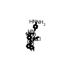 CCOC(=O)CN(c1ccc2c(c1)c(C(=O)NCc1ccc(C(=N)N)cc1)cn2C)S(=O)(=O)c1cccc2cnccc12.Cl